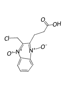 O=C(O)CCc1c(CCl)[n+]([O-])c2ccccc2[n+]1[O-]